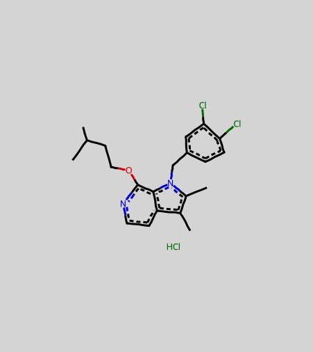 Cc1c(C)n(Cc2ccc(Cl)c(Cl)c2)c2c(OCCC(C)C)nccc12.Cl